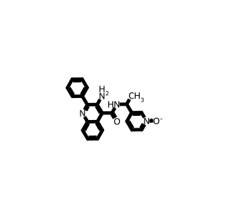 CC(NC(=O)c1c(N)c(-c2ccccc2)nc2ccccc12)c1ccc[n+]([O-])c1